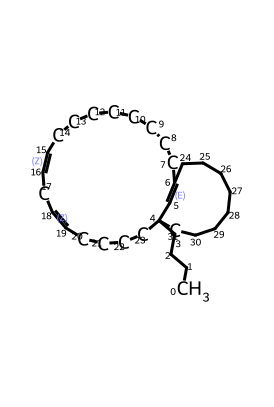 CCCCC12/C=C(\CCCCCCCC/C=C\C/C=C\CCCC1)CCCCCCCC2